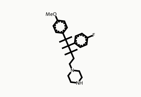 COc1ccc(C(C)(C)C(C)(c2ccc(F)cc2)C(C)(C)CCN2CCNCC2)cc1